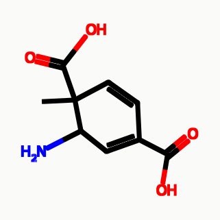 CC1(C(=O)O)C=CC(C(=O)O)=CC1N